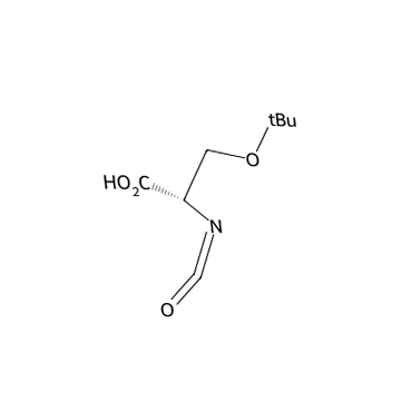 CC(C)(C)OC[C@H](N=C=O)C(=O)O